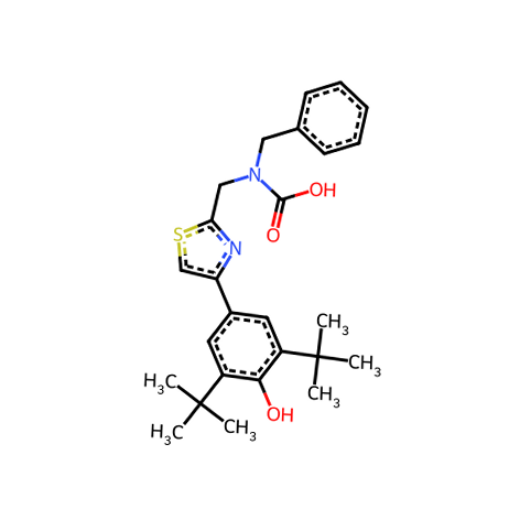 CC(C)(C)c1cc(-c2csc(CN(Cc3ccccc3)C(=O)O)n2)cc(C(C)(C)C)c1O